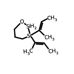 CC=C(C)[Si]1(C(C)=CC)CCCO[SiH2]1